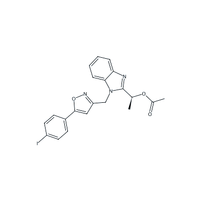 CC(=O)O[C@@H](C)c1nc2ccccc2n1Cc1cc(-c2ccc(I)cc2)on1